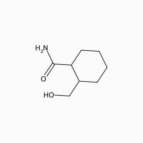 NC(=O)C1CCCCC1CO